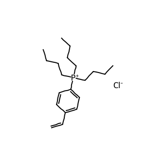 C=Cc1ccc([P+](CCCC)(CCCC)CCCC)cc1.[Cl-]